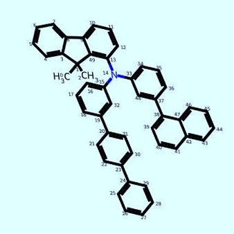 CC1(C)c2ccccc2-c2cccc(N(c3cccc(-c4ccc(-c5ccccc5)cc4)c3)c3cccc(-c4cccc5ccccc45)c3)c21